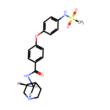 CS(=O)(=O)Nc1ccc(Oc2ccc(C(=O)N[C@H]3CN4CCC3CC4)cc2)cc1